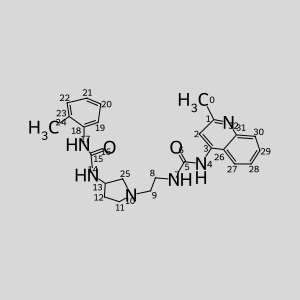 Cc1cc(NC(=O)NCCN2CCC(NC(=O)Nc3ccccc3C)C2)c2ccccc2n1